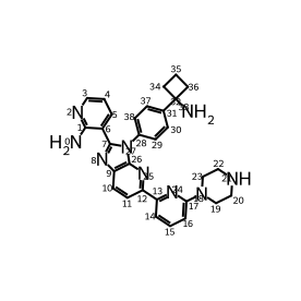 Nc1ncccc1-c1nc2ccc(-c3cccc(N4CCNCC4)n3)nc2n1-c1ccc(C2(N)CCC2)cc1